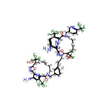 Nc1cc(C(F)(F)F)c2nc1-c1nnc(o1)[C@@](O)(C(F)(F)F)CCCCCN(Cc1cccc(CC[n+]3nc4oc3[C@@](O)(C(F)(F)F)CCCCCN(Cc3ccc(C(F)(F)F)nc3)C(=O)c3nc-4c(N)cc3C(F)(F)F)c1)C2=O